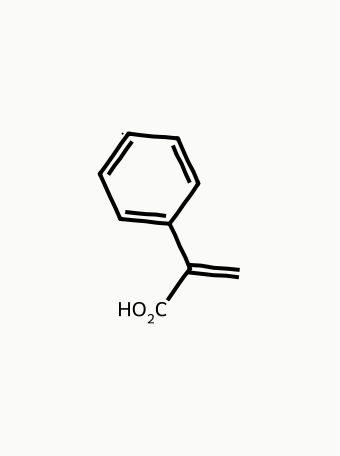 C=C(C(=O)O)c1cc[c]cc1